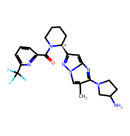 Cc1cn2nc([C@@H]3CCCCN3C(=O)c3cccc(C(F)(F)F)n3)cc2nc1N1CCC(N)C1